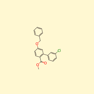 COC(=O)c1ccc(OCc2ccccc2)cc1-c1cccc(Cl)c1